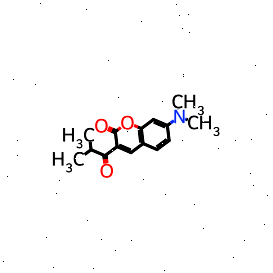 CC(C)C(=O)c1cc2ccc(N(C)C)cc2oc1=O